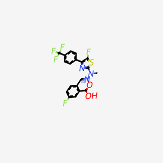 CN(/N=C/c1ccc(F)cc1C(=O)O)c1nc(-c2ccc(C(F)(F)F)cc2)c(F)s1